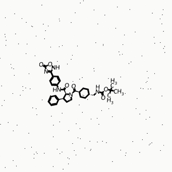 CC(C)(C)OC(=O)NC[C@H]1CC[C@H](C(=O)N2CC[C@@H](c3ccccc3)[C@H]2C(=O)Nc2ccc(-c3nc(=O)o[nH]3)cc2)CC1